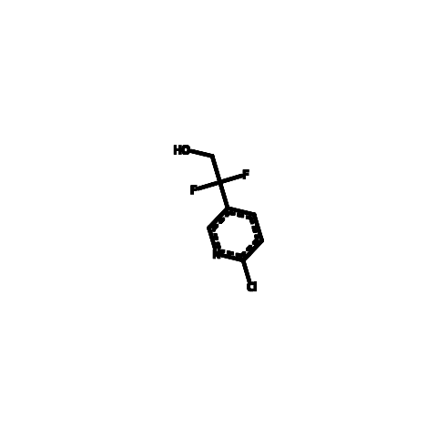 OCC(F)(F)c1ccc(Cl)nc1